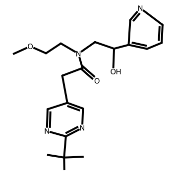 COCCN(CC(O)c1cccnc1)C(=O)Cc1cnc(C(C)(C)C)nc1